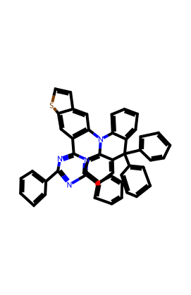 c1ccc(-c2nc(-c3ccccc3)nc(-c3cc4sccc4cc3N3c4ccccc4C(c4ccccc4)(c4ccccc4)c4ccccc43)n2)cc1